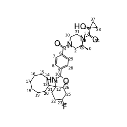 C[C@H]1CN(C(=O)c2ccc(C3NC4(C5CCCCCCC5)CCC(F)CC4O3)cc2)CCN1C(=O)C1(O)CC1